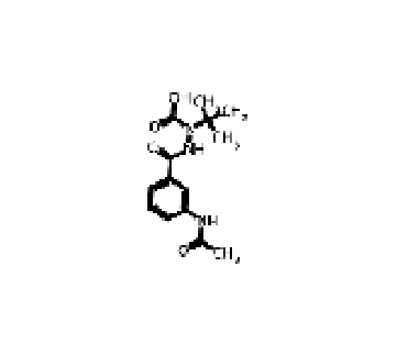 CC(=O)Nc1cccc(C(=O)NN(C(=O)O)C(C)(C)C)c1